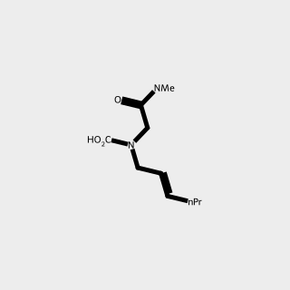 CCCC=CCN(CC(=O)NC)C(=O)O